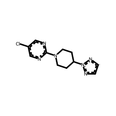 Clc1cnc(N2CCC(n3n[c]cn3)CC2)nc1